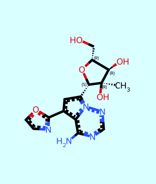 C[C@@]1(O)[C@H](O)[C@@H](CO)O[C@H]1c1cc(-c2ncco2)c2c(N)ncnn12